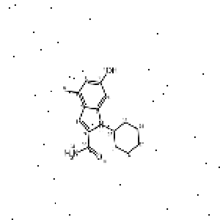 Cc1cc(O)cc2c1cc(C(N)=O)n2C1CCCCC1